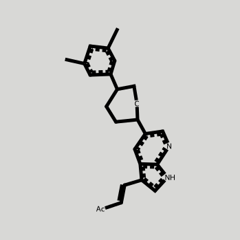 CC(=O)/C=C/c1c[nH]c2ncc(C3CCC(c4cc(C)cc(C)c4)CC3)cc12